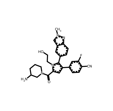 Cn1cc2cc(-c3c(-c4ccc(C#N)c(F)c4)cc(C(=O)N4CCCC(N)C4)n3CCO)ccc2n1